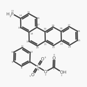 O=C(O)OS(=O)(=O)c1ccccc1.Pc1ccc2c(ccc3cc4ccccc4cc32)c1